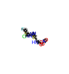 O=C(OC(=O)N1CCOCC1)[C@H]1CN[C@H](C#Cc2cc3ncnc(Nc4ccc(Sc5cccc(F)c5)c(Cl)c4)c3s2)C1